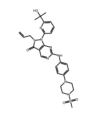 C=CCn1c(=O)c2cnc(Nc3ccc(N4CCN(S(C)(=O)=O)CC4)cc3)nc2n1-c1cccc(C(C)(C)O)n1